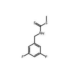 CSC(=S)NCc1cc(F)cc(F)c1